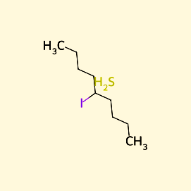 CCCCC(I)CCCC.S